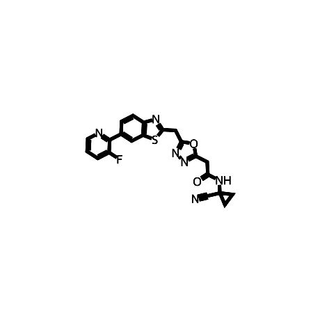 N#CC1(NC(=O)Cc2nnc(Cc3nc4ccc(-c5ncccc5F)cc4s3)o2)CC1